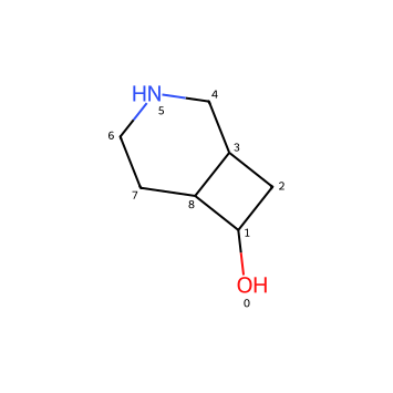 OC1CC2CNCCC12